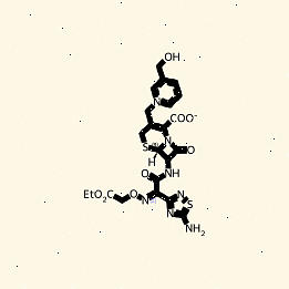 CCOC(=O)CO/N=C(\C(=O)NC1C(=O)N2C(C(=O)[O-])=C(C[n+]3cccc(CO)c3)CS[C@H]12)c1nsc(N)n1